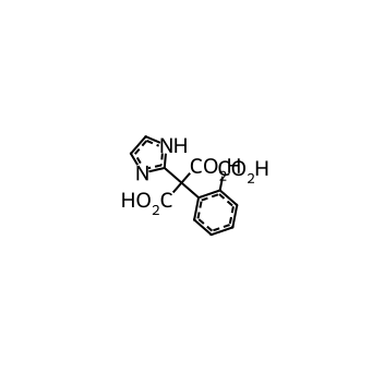 O=C(O)c1ccccc1C(C(=O)O)(C(=O)O)c1ncc[nH]1